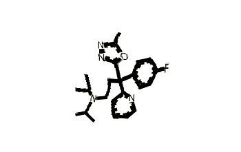 Cc1nnc(C(CCN(C(C)C)C(C)C)(c2ccc(F)cc2)c2ccccn2)o1